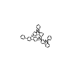 CC1(C)c2cc(-c3ccccc3)ccc2-c2ccc(N(c3ccc4c5ccccc5n(-c5ccccc5)c4c3)c3cccc4c3c3ccccc3n4-c3ccccc3)cc21